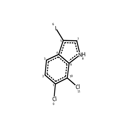 Clc1ccc2c(I)c[nH]c2c1Cl